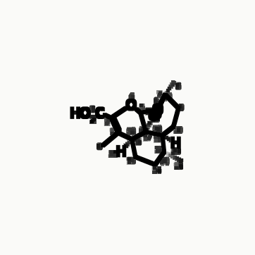 CC1=C(C(=O)O)OC2O[C@]3(C)CC[C@H]4[C@H](C)CC[C@@H]1[C@@]24OO3